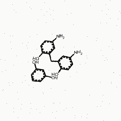 Nc1ccc(O)c(Cc2cc(N)ccc2O)c1.Oc1cccc(O)c1